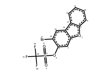 O=S(=O)(Oc1cc2oc3ccccc3c2cc1Br)C(F)(F)F